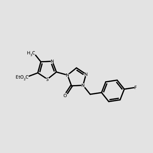 CCOC(=O)c1sc(-n2cnn(Cc3ccc(F)cc3)c2=O)nc1C